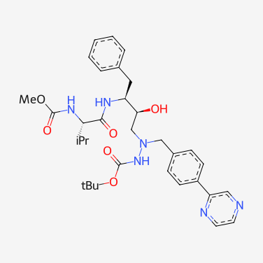 COC(=O)N[C@H](C(=O)N[C@@H](Cc1ccccc1)[C@@H](O)CN(Cc1ccc(-c2cnccn2)cc1)NC(=O)OC(C)(C)C)C(C)C